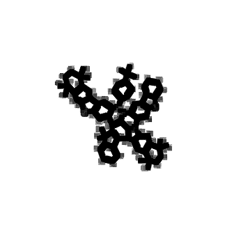 CC(C)(C)c1ccc(N2B3c4cc5c(cc4-n4c6cc7c(cc6c6c8c(c(c3c64)-c3cc4oc6cc9c(cc6c4cc32)C(C)(C)CCC9(C)C)C(C)(C)c2ccccc2-8)C(C)(C)CCC7(C)C)oc2ccccc25)cc1